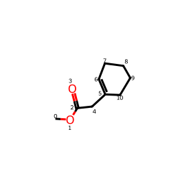 COC(=O)CC1=CCCCC1